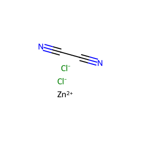 N#CC#N.[Cl-].[Cl-].[Zn+2]